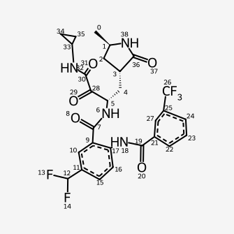 C[C@@H]1C[C@@H](C[C@H](NC(=O)c2cc(C(F)F)ccc2NC(=O)c2cccc(C(F)(F)F)c2)C(=O)C(=O)NC2CC2)C(=O)N1